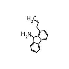 C=CCc1cccc2c1C(N)c1ccccc1-2